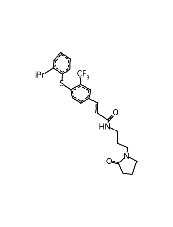 CC(C)c1ccccc1Sc1ccc(C=CC(=O)NCCCN2CCCC2=O)cc1C(F)(F)F